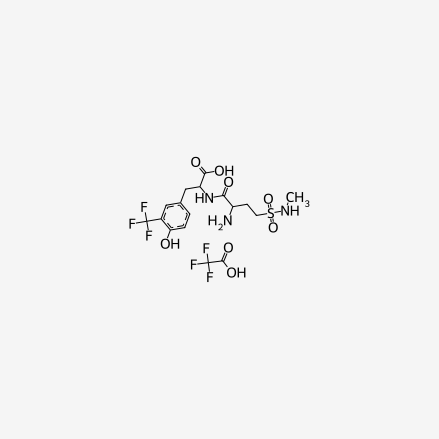 CNS(=O)(=O)CCC(N)C(=O)NC(Cc1ccc(O)c(C(F)(F)F)c1)C(=O)O.O=C(O)C(F)(F)F